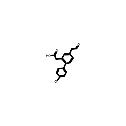 O=CCc1ccc(-c2ccc(Cl)cc2)c(CC(=O)O)c1